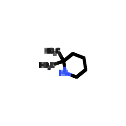 O=C(O)C1(C(=O)O)CCCCN1